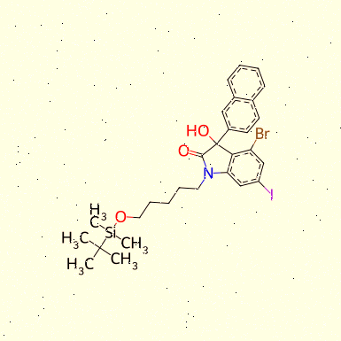 CC(C)(C)[Si](C)(C)OCCCCCN1C(=O)C(O)(c2ccc3ccccc3c2)c2c(Br)cc(I)cc21